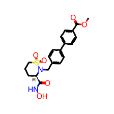 COC(=O)c1ccc(-c2ccc(CN3[C@@H](C(=O)NO)CCCS3(=O)=O)cc2)cc1